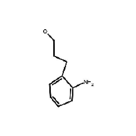 Nc1ccccc1CCC[O]